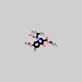 CCOC(=O)c1cn([C@H](CO)C(C)C)c2cc(OC)c(Br)cc2c1=O